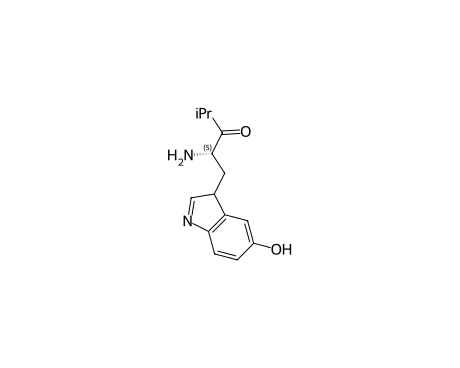 CC(C)C(=O)[C@@H](N)CC1C=Nc2ccc(O)cc21